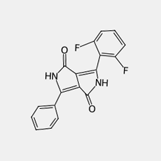 O=C1NC(c2c(F)cccc2F)=C2C(=O)NC(c3ccccc3)=C12